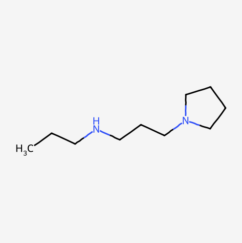 CCCNCCCN1CCCC1